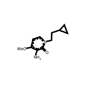 COc1ccn(CCC2CC2)c(=O)c1N